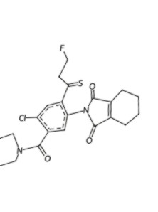 O=C(c1cc(N2C(=O)C3=C(CCCC3)C2=O)c(C(=S)CCF)cc1Cl)N1CCCCC1